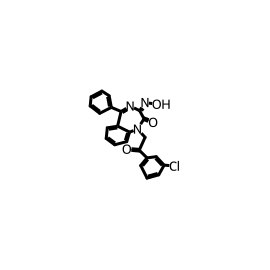 O=C(Cn1c(=O)c(=NO)nc(-c2ccccc2)c2ccccc21)c1cccc(Cl)c1